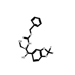 O=C(N[C@H](CO)[C@H](O)c1ccc2c(c1)OC(F)(F)O2)OCc1ccccc1